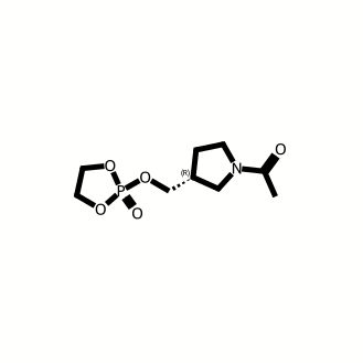 CC(=O)N1CC[C@@H](COP2(=O)OCCO2)C1